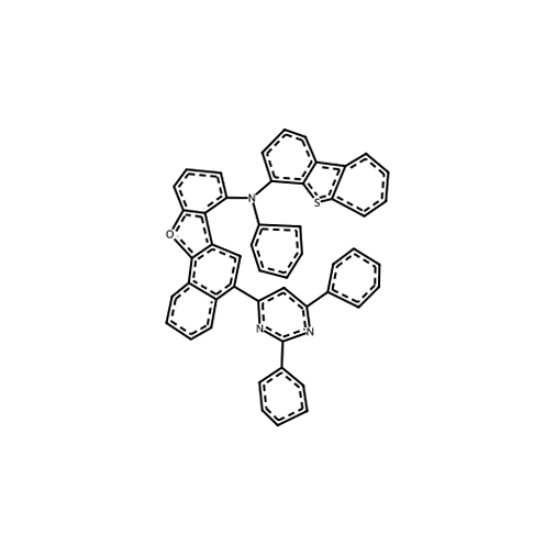 c1ccc(-c2cc(-c3cc4c(oc5cccc(N(c6ccccc6)c6cccc7c6sc6ccccc67)c54)c4ccccc34)nc(-c3ccccc3)n2)cc1